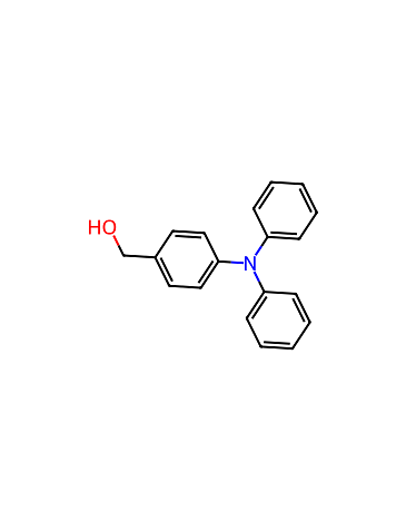 OCc1ccc(N(c2ccccc2)c2ccccc2)cc1